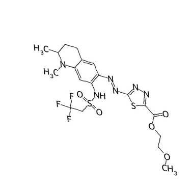 COCCOC(=O)c1nnc(N=Nc2cc3c(cc2NS(=O)(=O)CC(F)(F)F)N(C)C(C)CC3)s1